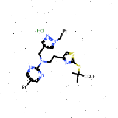 CCc1cnc(N(CCc2csc(SC(C)(C)C(=O)O)n2)Cc2cnn(CC(C)C)c2)nc1.Cl